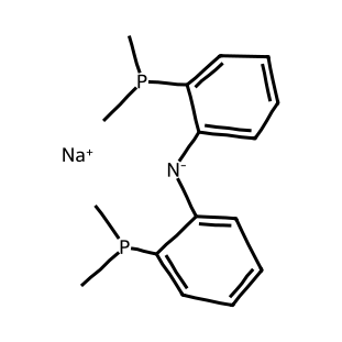 CP(C)c1ccccc1[N-]c1ccccc1P(C)C.[Na+]